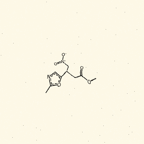 COC(=O)CC(C[N+](=O)[O-])c1cnc(C)o1